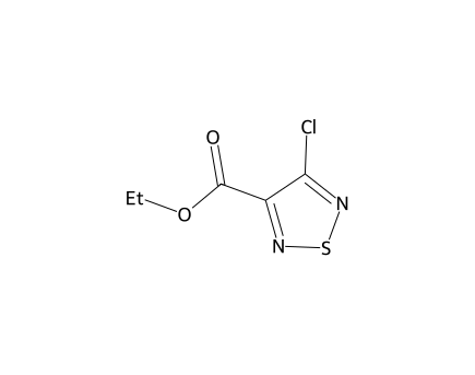 CCOC(=O)c1nsnc1Cl